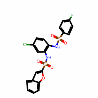 O=S(=O)(Nc1ccc(Cl)cc1NS(=O)(=O)c1cc2ccccc2o1)c1ccc(F)cc1